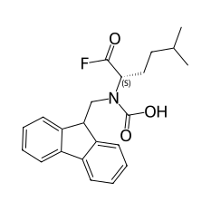 CC(C)CC[C@@H](C(=O)F)N(CC1c2ccccc2-c2ccccc21)C(=O)O